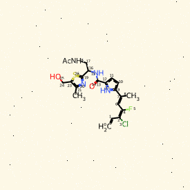 C=C/C(Cl)=C(F)\C=C(/C)c1ccc(C(=O)NC(CNC(C)=O)c2nc(C)c(CO)s2)[nH]1